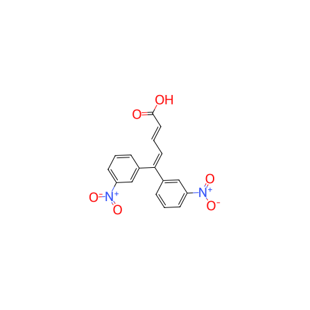 O=C(O)C=CC=C(c1cccc([N+](=O)[O-])c1)c1cccc([N+](=O)[O-])c1